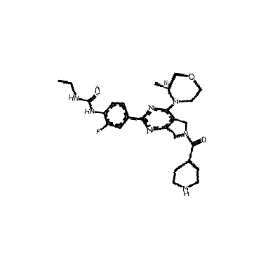 CCNC(=O)Nc1ccc(-c2nc3c(c(N4CCOC[C@@H]4C)n2)CN(C(=O)C2CCNCC2)C3)cc1F